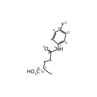 C[C@@H](CCC(=O)Nc1ccc(F)cc1)C(=O)O